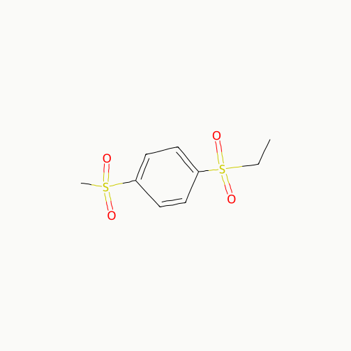 CCS(=O)(=O)c1ccc(S(C)(=O)=O)cc1